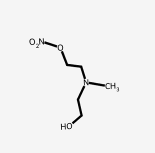 CN(CCO)CCO[N+](=O)[O-]